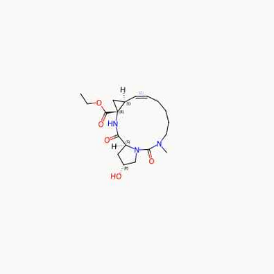 CCOC(=O)[C@@]12C[C@H]1/C=C\CCCCN(C)C(=O)N1C[C@H](O)C[C@H]1C(=O)N2